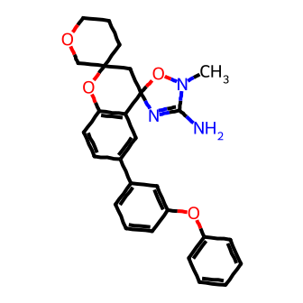 CN1OC2(CC3(CCCOC3)Oc3ccc(-c4cccc(Oc5ccccc5)c4)cc32)N=C1N